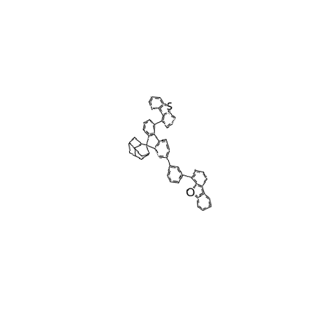 c1cc(-c2ccc3c(c2)C2(c4cccc(-c5cccc6sc7ccccc7c56)c4-3)C3CC4CC(C3)CC2C4)cc(-c2cccc3c2oc2ccccc23)c1